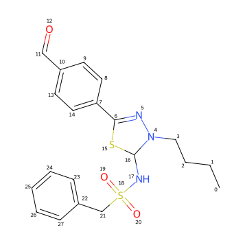 CCCCN1N=C(c2ccc(C=O)cc2)SC1NS(=O)(=O)Cc1ccccc1